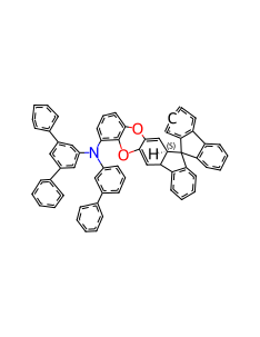 C1=C2Oc3cccc(N(c4cccc(-c5ccccc5)c4)c4cc(-c5ccccc5)cc(-c5ccccc5)c4)c3OC2=CC2c3ccccc3C3(c4ccccc4-c4ccccc43)[C@H]12